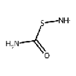 [NH]SC(N)=O